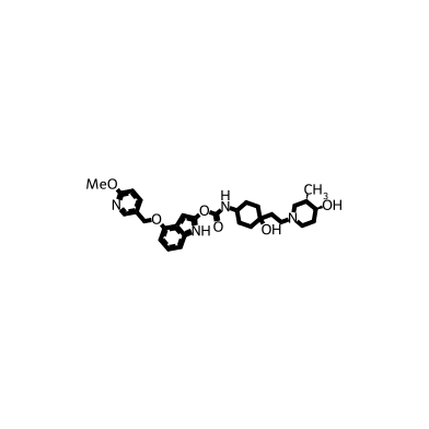 COc1ccc(COc2cccc3[nH]c(OC(=O)NC4CCC(O)(CCN5CC[C@H](O)[C@@H](C)C5)CC4)cc23)cn1